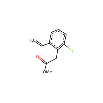 C=Cc1cccc(F)c1CC(=O)OC